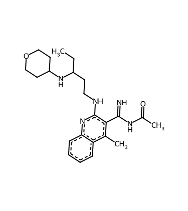 CCC(CCNc1nc2ccccc2c(C)c1C(=N)NC(C)=O)NC1CCOCC1